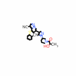 C[C@@H](O)C(=O)N1CCC[C@@H](n2cc(-c3cc(Sc4ccccc4C#N)c4c(C#N)cnn4c3)cn2)C1